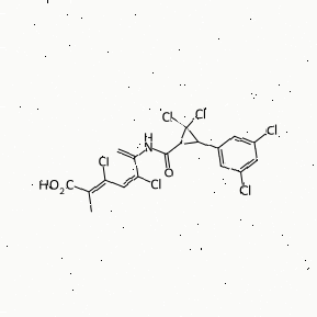 C=C(NC(=O)C1C(c2cc(Cl)cc(Cl)c2)C1(Cl)Cl)/C(Cl)=C\C(Cl)=C(/C)C(=O)O